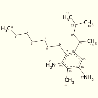 CCCCCCCc1c(C(C)CC(C)C)cc(N)c(C)c1N